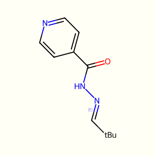 CC(C)(C)/C=N/NC(=O)c1ccncc1